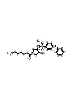 Cl.NCCCCCC(=O)N1CC(S)C(NS(=O)(=O)c2ccc(Oc3ccccc3)cc2)C1